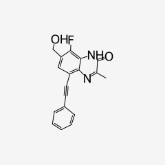 Cc1nc2c(C#Cc3ccccc3)cc(CO)c(F)c2[nH]c1=O